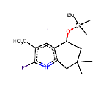 CC1(C)Cc2nc(I)c(C(=O)O)c(I)c2C(O[Si](C)(C)C(C)(C)C)C1